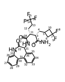 NC(=O)[C@@H](CC1CC(F)(F)C1)[C@@H](CCC(F)(F)F)C(=O)N[C@@H]1C(=O)Nc2ccccc2-c2ccccc21